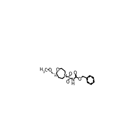 COC[C@H]1CCN(S(=O)(=O)NC(=O)OCc2ccccc2)CCO1